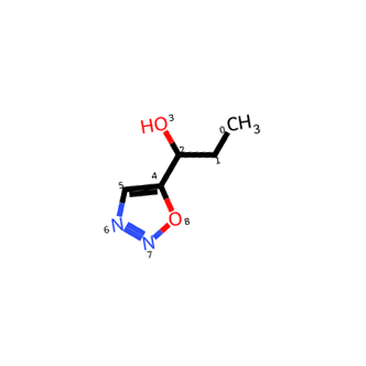 CCC(O)c1cnno1